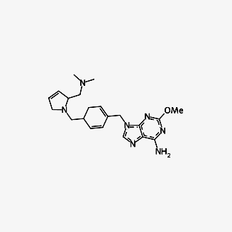 COc1nc(N)c2ncn(CC3=CCC(CN4CC=CC4CN(C)C)C=C3)c2n1